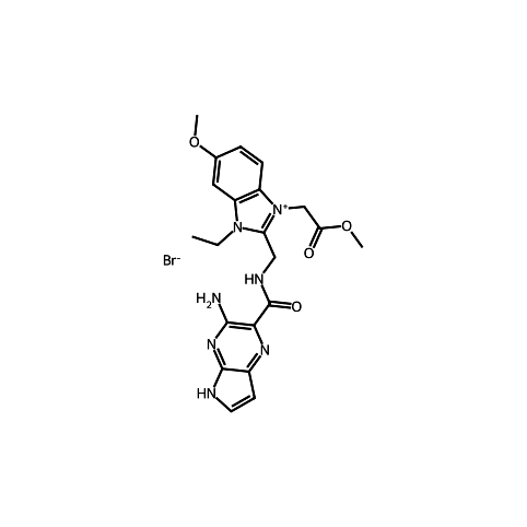 CCn1c(CNC(=O)c2nc3cc[nH]c3nc2N)[n+](CC(=O)OC)c2ccc(OC)cc21.[Br-]